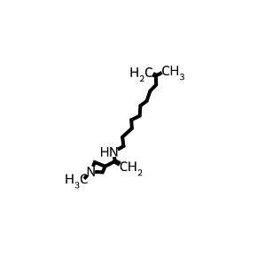 C=C(C)CCCCCCCCCNC(=C)C1CN(C)C1